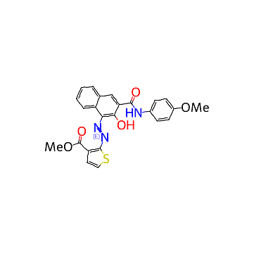 COC(=O)c1ccsc1/N=N/c1c(O)c(C(=O)Nc2ccc(OC)cc2)cc2ccccc12